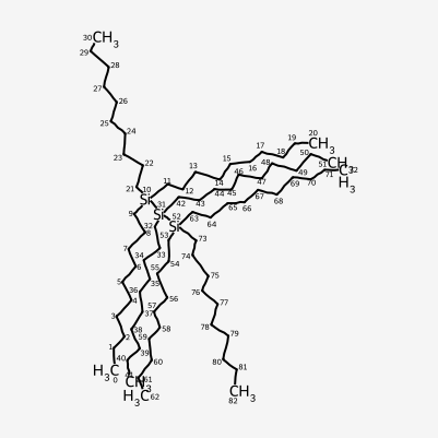 CCCCCCCCCC[Si](CCCCCCCCCC)(CCCCCCCCCC)[Si](CCCCCCCCCC)(CCCCCCCCCC)[Si](CCCCCCCCCC)(CCCCCCCCCC)CCCCCCCCCC